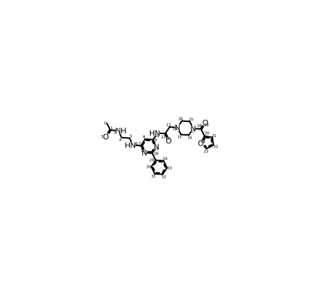 CC(=O)NCCNc1cc(NC(=O)CN2CCN(C(=O)c3ccco3)CC2)nc(-c2ccccc2)n1